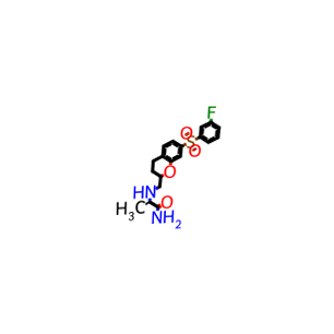 C[C@@H](NCC1CCc2ccc(S(=O)(=O)c3cccc(F)c3)cc2O1)C(N)=O